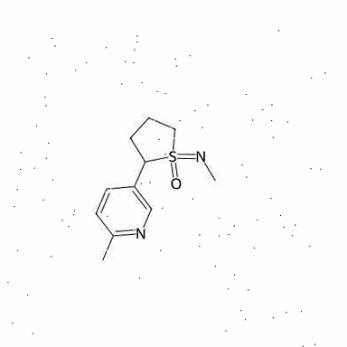 CN=S1(=O)CCCC1c1ccc(C)nc1